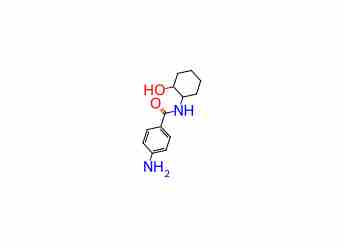 Nc1ccc(C(=O)NC2CCCCC2O)cc1